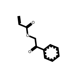 C=CC(=O)OCC(=O)c1ccccc1